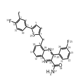 Cc1cc(-c2ccc(Cc3cccc4nc(C(N)=O)c(-c5cccc(F)c5)nc34)s2)ccc1F